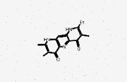 CCc1[nH]c2cc3[nH]c(C)c(C)c(=O)c3nc2c(=O)c1C